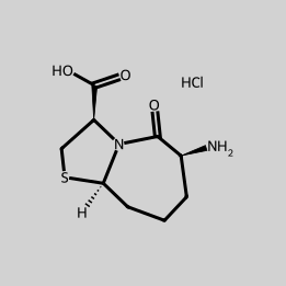 Cl.N[C@H]1CCC[C@H]2SC[C@@H](C(=O)O)N2C1=O